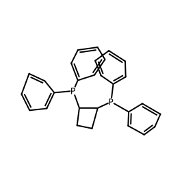 c1ccc(P(c2ccccc2)C2CCC2P(c2ccccc2)c2ccccc2)cc1